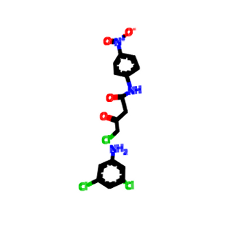 Nc1cc(Cl)cc(Cl)c1.O=C(CCl)CC(=O)Nc1ccc([N+](=O)[O-])cc1